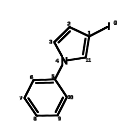 Ic1ccn(-c2ccccc2)c1